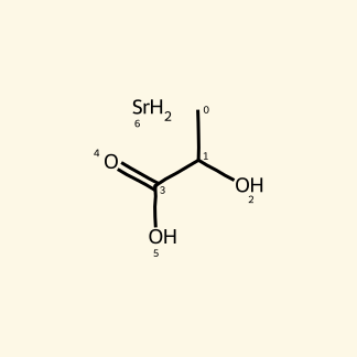 CC(O)C(=O)O.[SrH2]